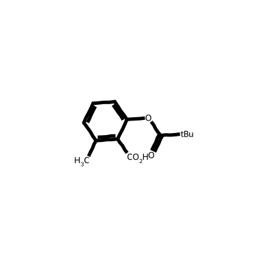 Cc1cccc(OC(=O)C(C)(C)C)c1C(=O)O